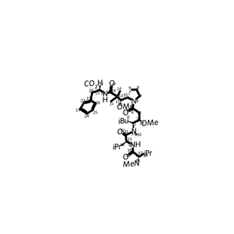 CC[C@H](C)[C@@H]([C@@H](CC(=O)N1CCC[C@H]1[C@H](OC)C(C)(C)C(=O)N[C@@H](Cc1ccccc1)C(=O)O)OC)N(C)C(=O)[C@@H](NC(=O)[C@@H](NC)C(C)C)C(C)C